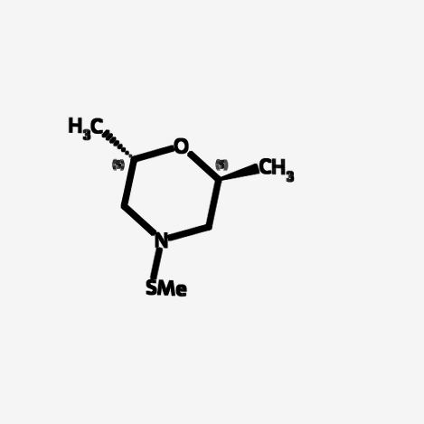 CSN1C[C@H](C)O[C@@H](C)C1